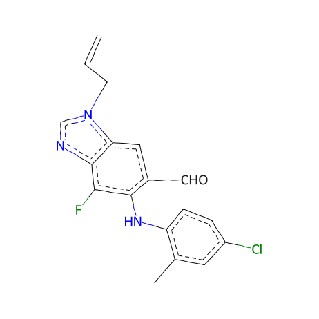 C=CCn1cnc2c(F)c(Nc3ccc(Cl)cc3C)c(C=O)cc21